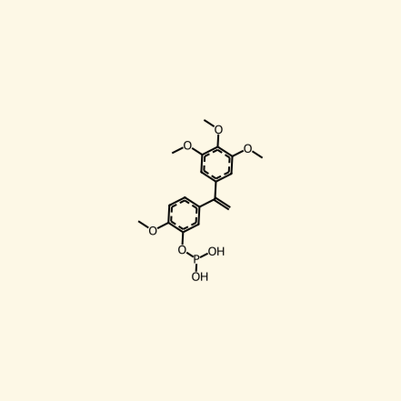 C=C(c1ccc(OC)c(OP(O)O)c1)c1cc(OC)c(OC)c(OC)c1